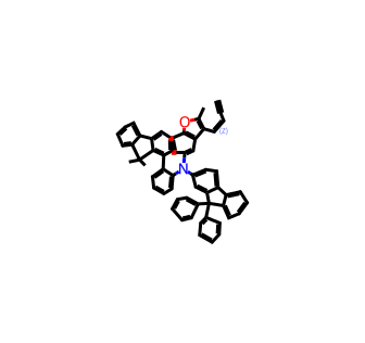 C#C/C=C\c1c(C)oc2ccc(N(c3ccc4c(c3)C(c3ccccc3)(c3ccccc3)c3ccccc3-4)c3ccccc3-c3cccc4c3C(C)(C)c3ccccc3-4)cc12